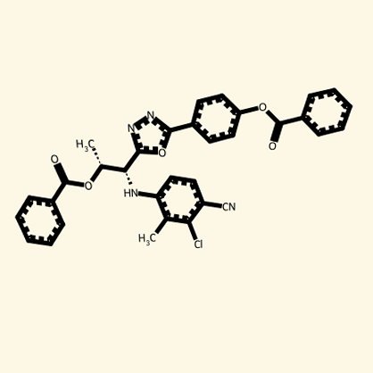 Cc1c(N[C@@H](c2nnc(-c3ccc(OC(=O)c4ccccc4)cc3)o2)[C@@H](C)OC(=O)c2ccccc2)ccc(C#N)c1Cl